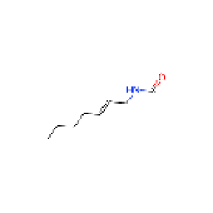 CCCCC=CCN[C]=O